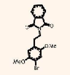 COc1cc(CCN2C(=O)c3ccccc3C2=O)c(OC)cc1Br